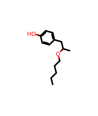 CCCCCOC(C)Cc1ccc(O)cc1